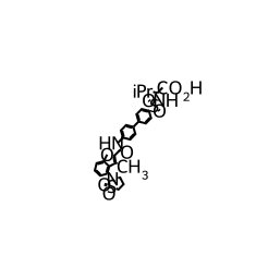 Cc1c(C(=O)Nc2ccc(-c3ccc(S(=O)(=O)NC(C(=O)O)C(C)C)cc3)cc2)oc2cccc(N3CCCS3(=O)=O)c12